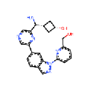 NC(c1cncc(-c2ccc3cnn(-c4cccc(CO)n4)c3c2)n1)[C@H]1C[C@@H](O)C1